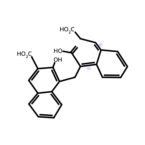 C=C(O)/C(Cc1c(O)c(C(=O)O)cc2ccccc12)=c1/cccc/c1=C/CC(=O)O